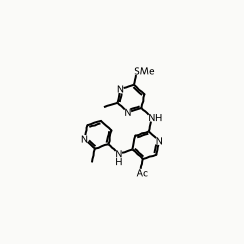 CSc1cc(Nc2cc(Nc3cccnc3C)c(C(C)=O)cn2)nc(C)n1